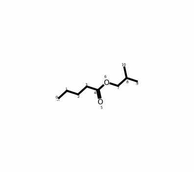 [CH]CCCC(=O)OCC(C)C